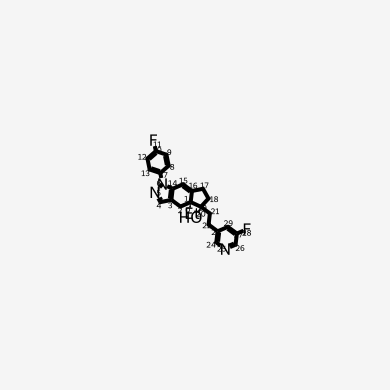 CC[C@]12Cc3cnn(-c4ccc(F)cc4)c3C=C1CC[C@@]2(O)CCc1cncc(F)c1